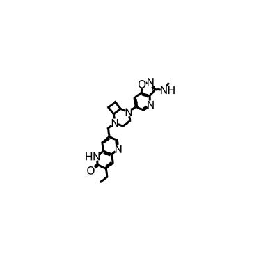 CCc1cc2ncc(CN3CCN(c4cnc5c(NC)noc5c4)C4CCC43)cc2[nH]c1=O